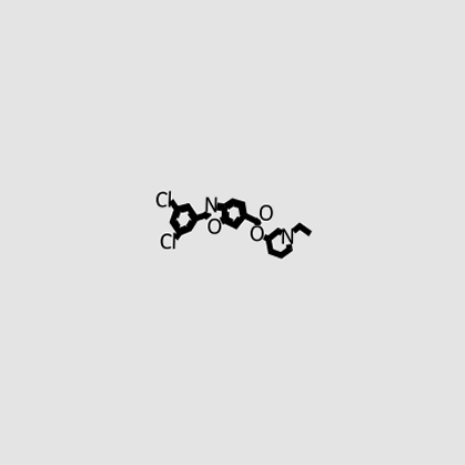 CCN1CCCC(OC(=O)c2ccc3nc(-c4cc(Cl)cc(Cl)c4)oc3c2)C1